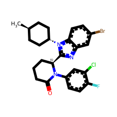 C[C@H]1CC[C@H](n2c([C@@H]3CCCC(=O)N3c3ccc(F)c(Cl)c3)nc3cc(Br)ccc32)CC1